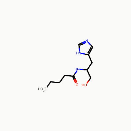 O=C(O)CCCC(=O)NC(CO)Cc1cnc[nH]1